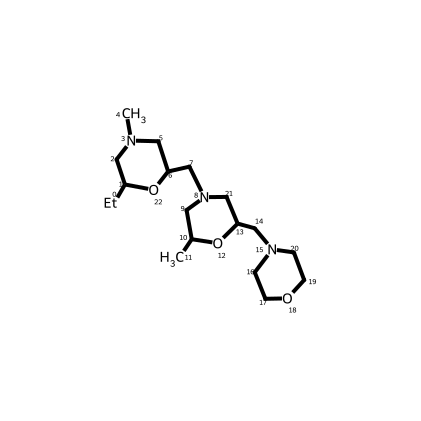 CCC1CN(C)CC(CN2CC(C)OC(CN3CCOCC3)C2)O1